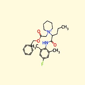 CCCC(C(=O)Nc1c(C)cc(F)cc1C)[N+]1(CC(=O)OCc2ccccc2)CCCCC1